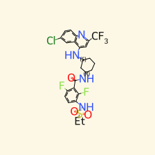 CCS(=O)(=O)Nc1ccc(F)c(C(=O)N[C@@H]2CCC[C@H](Nc3cc(C(F)(F)F)nc4ccc(Cl)cc34)C2)c1F